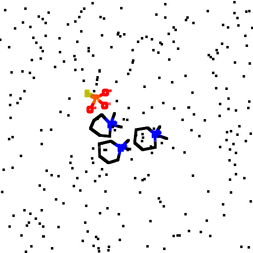 C[N+]1(C)CCCCC1.C[N+]1(C)CCCCC1.C[N+]1(C)CCCCC1.[O-]P([O-])([O-])=S